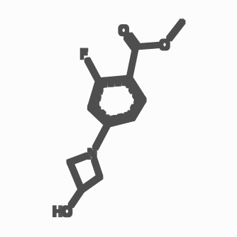 COC(=O)c1ccc(N2CC(O)C2)cc1F